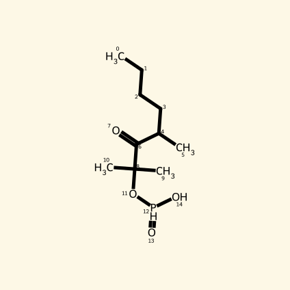 CCCCC(C)C(=O)C(C)(C)O[PH](=O)O